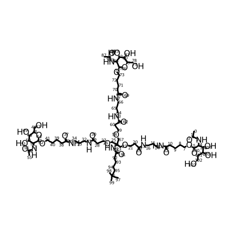 CC(=O)NC1C(OCCCCC(=O)NCCCNC(=O)CCOCC(COCCC(=O)NCCCNC(=O)CCCCOC2OC(CO)C(O)C(O)C2NC(C)=O)(COCCC(=O)NCCCNC(=O)CCCCOC2OC(CO)C(O)C(O)C2NC(C)=O)NC(=O)CCCCC(C)(C)C)OC(CO)C(O)C1O